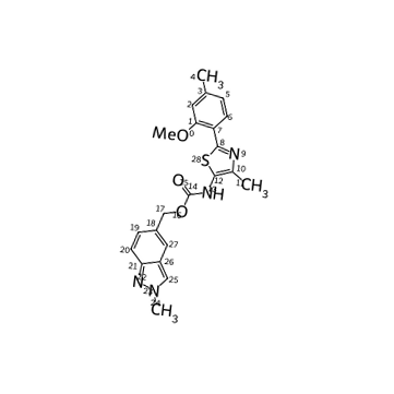 COc1cc(C)ccc1-c1nc(C)c(NC(=O)OCc2ccc3nn(C)cc3c2)s1